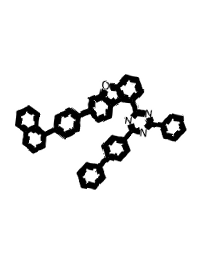 c1ccc(-c2ccc(-c3nc(-c4ccccc4)nc(-c4cccc5oc6cc(-c7ccc(-c8cccc9ccccc89)cc7)ccc6c45)n3)cc2)cc1